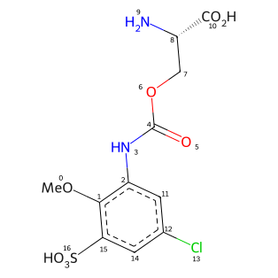 COc1c(NC(=O)OC[C@H](N)C(=O)O)cc(Cl)cc1S(=O)(=O)O